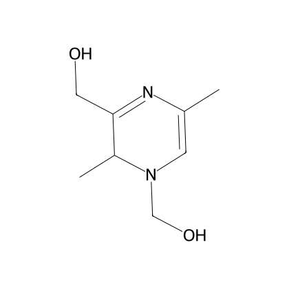 CC1=CN(CO)C(C)C(CO)=N1